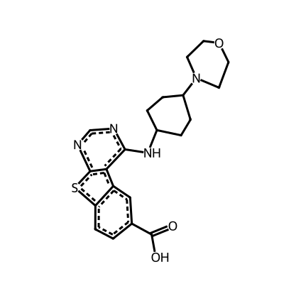 O=C(O)c1ccc2sc3ncnc(NC4CCC(N5CCOCC5)CC4)c3c2c1